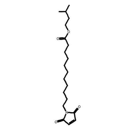 CC(C)CCOC(=O)CCCCCCCCCCN1C(=O)C=CC1=O